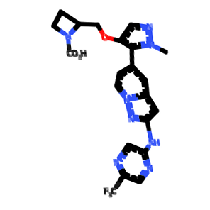 Cn1ncc(OCC2CCN2C(=O)O)c1-c1ccn2nc(Nc3cnc(C(F)(F)F)cn3)cc2c1